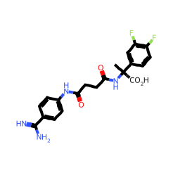 CC(NC(=O)CCC(=O)Nc1ccc(C(=N)N)cc1)(C(=O)O)c1ccc(F)c(F)c1